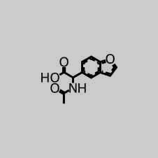 CC(=O)NC(C(=O)O)c1ccc2occc2c1